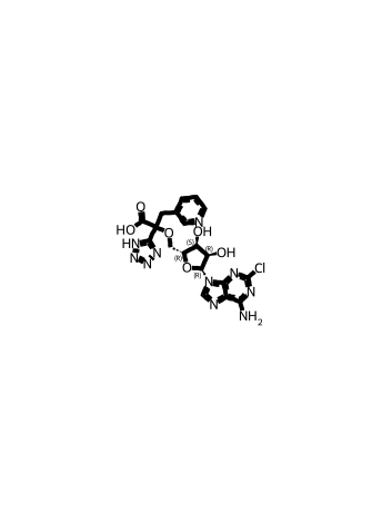 Nc1nc(Cl)nc2c1ncn2[C@@H]1O[C@H](COC(Cc2cccnc2)(C(=O)O)c2nnn[nH]2)[C@@H](O)[C@H]1O